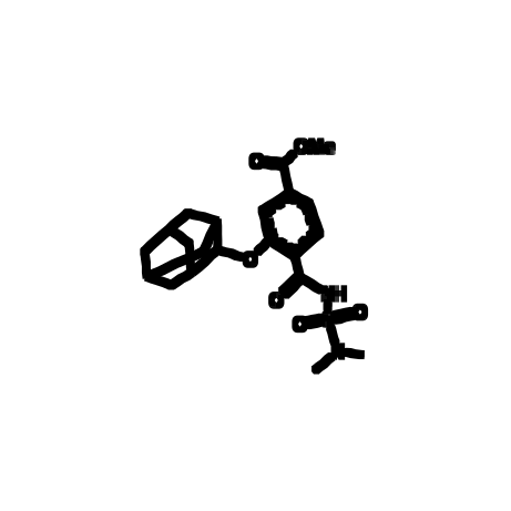 COC(=O)c1ccc(C(=O)NS(=O)(=O)N(C)C)c(OC2C3CC4CC(C3)CC2C4)c1